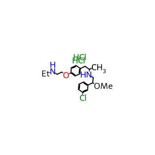 CCNCCOc1ccc(CC(C)NCC(OC)c2cccc(Cl)c2)cc1.Cl.Cl